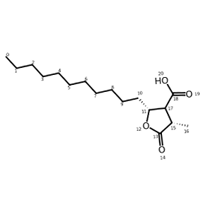 CCCCCCCCCCC[C@H]1OC(=O)[C@@H](C)C1C(=O)O